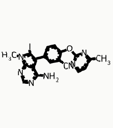 Cc1ccnc(Oc2ccc(-c3c(I)n(C)c4ncnc(N)c34)cc2C#N)n1